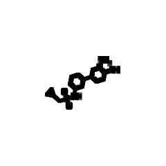 N=c1ccc(-c2cccc(NS(=O)(=O)CC3CC3)c2)cn1N